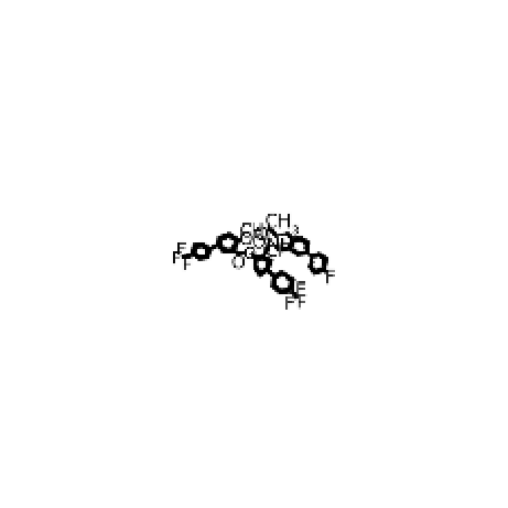 COc1ccc(-c2ccc(C(F)(F)F)cc2)cc1C(=O)Oc1ccc(-c2ccc(C(F)(F)F)cc2)cc1C(=O)N[C@H](Cc1ccc(-c2ccc(F)cc2)cc1Cl)C(C)=O